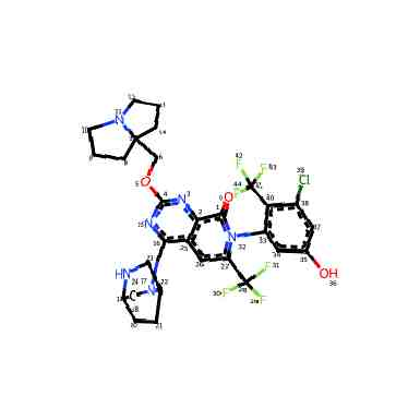 O=c1c2nc(OCC34CCCN3CCC4)nc(N3CC4CCC3CN4)c2cc(C(F)(F)F)n1-c1cc(O)cc(Cl)c1C(F)(F)F